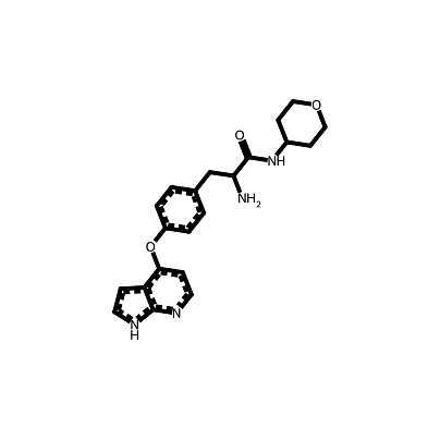 NC(Cc1ccc(Oc2ccnc3[nH]ccc23)cc1)C(=O)NC1CCOCC1